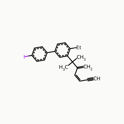 C#C/C=C\C(=C)C(C)(C)c1cc(-c2ccc(I)cc2)ccc1CC